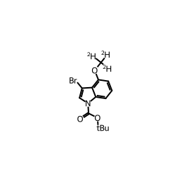 [2H]C([2H])([2H])Oc1cccc2c1c(Br)cn2C(=O)OC(C)(C)C